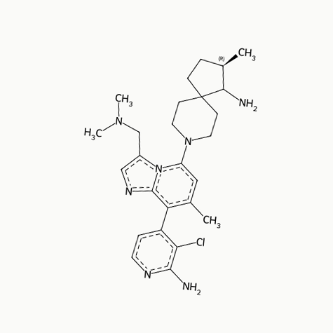 Cc1cc(N2CCC3(CC[C@@H](C)C3N)CC2)n2c(CN(C)C)cnc2c1-c1ccnc(N)c1Cl